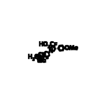 COc1ccc([C@@H]2CN([C@H]3CC[C@@H](O[Si](C)(C)C(C)(C)C)CC3)C[C@@]2(F)C(=O)O)cc1